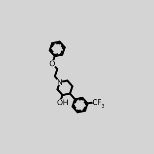 OC1CN(CCOc2ccccc2)CCC1c1cccc(C(F)(F)F)c1